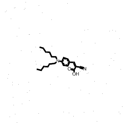 CCCCCCN(CCCCCC)c1ccc(C=C(C#N)C(=O)O)cc1